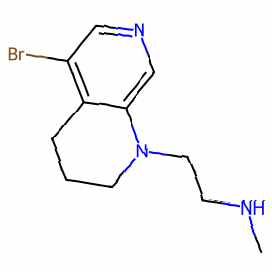 CNCCN1CCCc2c(Br)cncc21